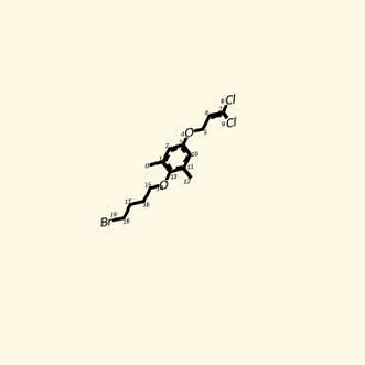 Cc1cc(OCC=C(Cl)Cl)cc(C)c1OCCCCBr